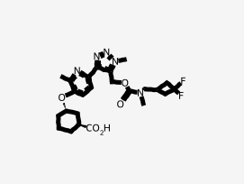 Cc1nc(-c2nnn(C)c2COC(=O)N(C)CC2CC(F)(F)C2)ccc1O[C@H]1CCC[C@H](C(=O)O)C1